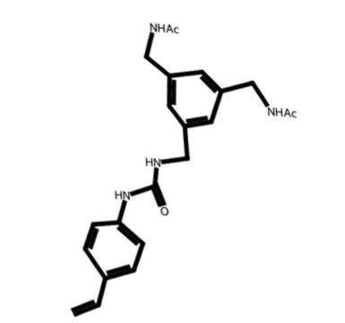 C=Cc1ccc(NC(=O)NCc2cc(CNC(C)=O)cc(CNC(C)=O)c2)cc1